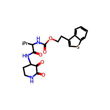 CC(C)C(NC(=O)OCCc1csc2ccccc12)C(=O)NC1CCNC(=O)C1=O